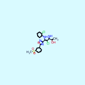 C=C(O)C(=N)/C(Cl)=C(\Nc1ccccc1Cl)c1noc(-c2cccc(S(C)(=O)=O)c2)n1